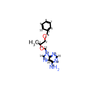 CC(COCc1ccccc1)OCn1cnc2c(N)ncnc21